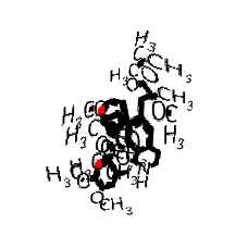 COc1ccc(C[C@@]2(OS(=O)(=O)c3ccccc3)NCCc3cc(CC(C)(OC)C(=O)OC(C)(C)C)c(CC(C)(OC)C(=O)OC(C)(C)C)cc32)cc1OC